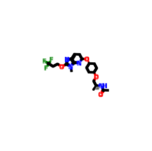 CC(=O)N[C@@H](C)CO[C@H]1CC[C@H](OC2CC=c3nc(OCCC(F)(F)F)n(C)c3=N2)CC1